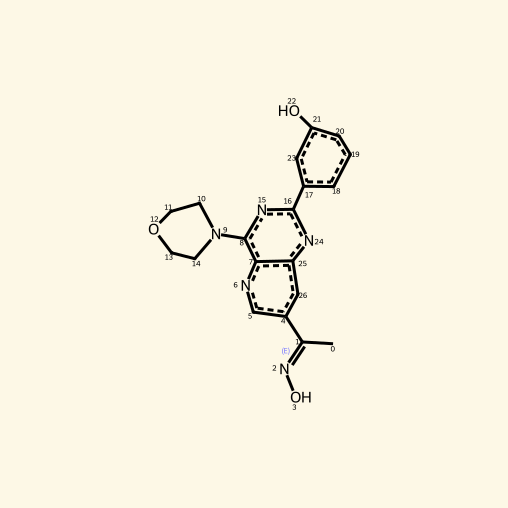 C/C(=N\O)c1cnc2c(N3CCOCC3)nc(-c3cccc(O)c3)nc2c1